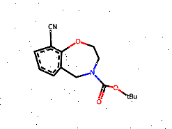 CC(C)(C)OC(=O)N1CCOc2c(C#N)cccc2C1